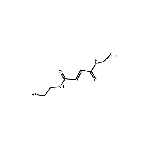 CCNC(=O)C=CC(=O)NCCS